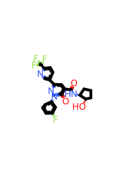 O=C(N[C@H]1CCC[C@H]1O)c1cc(-c2ccc(C(F)(F)F)nc2)nn(-c2cccc(F)c2)c1=O